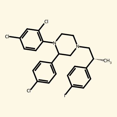 C[C@@H](CN1CCN(c2ccc(Cl)cc2Cl)C(c2ccc(Cl)cc2)C1)c1ccc(I)cc1